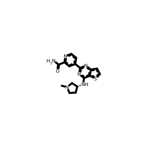 CN1CC[C@@H](Nc2nc(-c3ccnc(C(N)=O)c3)nc3ccsc23)C1